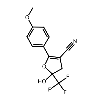 COc1ccc(C2=C(C#N)CC(O)(C(F)(F)F)O2)cc1